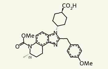 COC(=O)N1c2ccc3c(nc(Cc4ccc(OC)cc4)n3[C@H]3CC[C@H](C(=O)O)CC3)c2CC[C@@H]1C